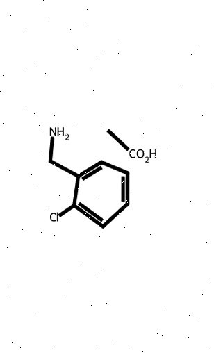 CC(=O)O.NCc1ccccc1Cl